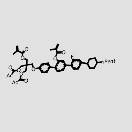 C=C(C)C(=O)OCC(COC(=O)C(C)=O)(COC(=O)C(C)=O)COc1ccc(-c2ccc(-c3ccc(C4CCC(CCCCC)CC4)cc3F)cc2OC(=O)C(=C)C)cc1